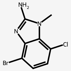 Cn1c(N)nc2c(Br)ccc(Cl)c21